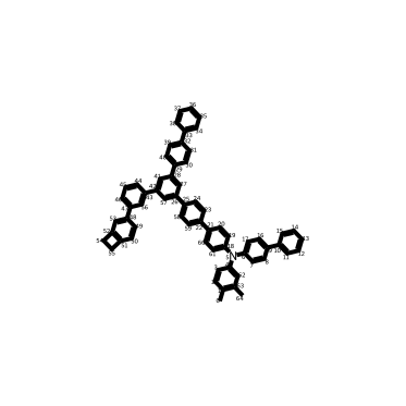 Cc1ccc(N(c2ccc(-c3ccccc3)cc2)c2ccc(-c3ccc(-c4cc(-c5ccc(-c6ccccc6)cc5)cc(-c5cccc(-c6ccc7c(c6)CC7)c5)c4)cc3)cc2)cc1C